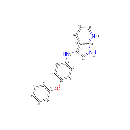 c1ccc(Oc2ccc(Nc3c[nH]c4ncccc34)cc2)cc1